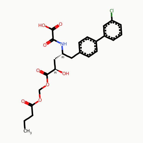 CCCC(=O)OCOC(=O)[C@H](O)C[C@@H](Cc1ccc(-c2cccc(Cl)c2)cc1)NC(=O)C(=O)O